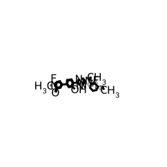 CC[C@@H]1CCC[C@H](N(C)c2cnc(-c3ccc(-c4cc(F)n(C)c(=O)c4)cc3O)nn2)[C@@H]1F